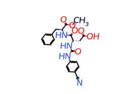 COC(=O)[C@H](Cc1ccccc1)NC(=O)[C@H](CC(=O)O)NC(=O)Nc1ccc(C#N)cc1